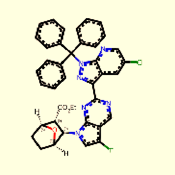 CCOC(=O)[C@@H]1[C@@H](n2cc(F)c3cnc(-c4nn(C(c5ccccc5)(c5ccccc5)c5ccccc5)c5ncc(Cl)cc45)nc32)[C@H]2CC[C@@H]1O2